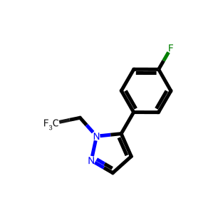 Fc1ccc(-c2ccnn2CC(F)(F)F)cc1